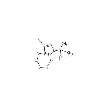 CC(C)(C)n1nc(I)c2c1CCCCC2